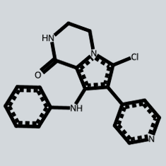 O=C1NCCn2c(Cl)c(-c3ccncc3)c(Nc3ccccc3)c21